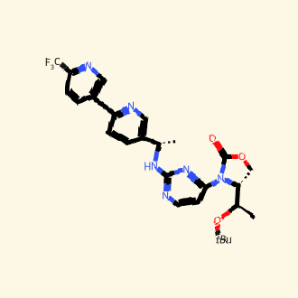 C[C@H](Nc1nccc(N2C(=O)OC[C@@H]2[C@@H](C)OC(C)(C)C)n1)c1ccc(-c2ccc(C(F)(F)F)nc2)nc1